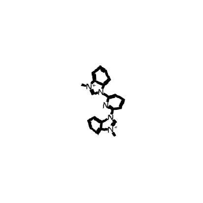 C[n+]1cn(-c2cccc(-n3c[n+](C)c4ccccc43)n2)c2ccccc21